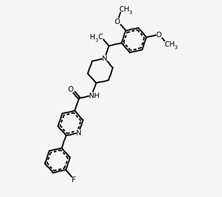 COc1ccc(C(C)N2CCC(NC(=O)c3ccc(-c4cccc(F)c4)nc3)CC2)c(OC)c1